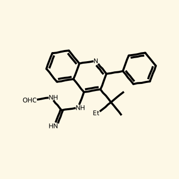 CCC(C)(C)c1c(-c2ccccc2)nc2ccccc2c1NC(=N)NC=O